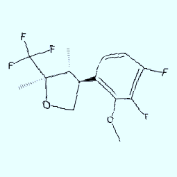 COc1c([C@H]2CO[C@@](C)(C(F)(F)F)[C@@H]2C)ccc(F)c1F